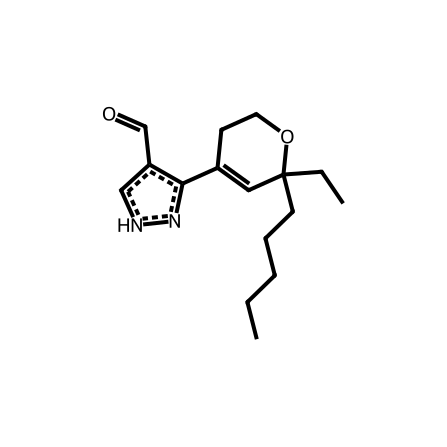 CCCCCC1(CC)C=C(c2n[nH]cc2C=O)CCO1